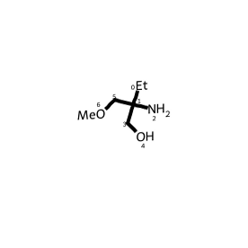 CCC(N)(CO)COC